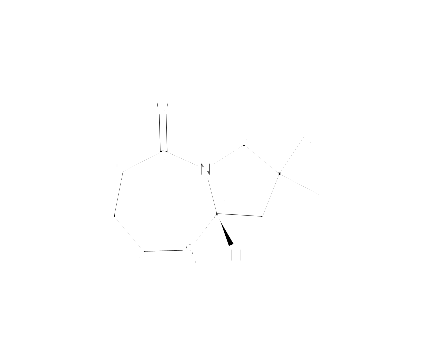 CC1(C)C[C@@H]2SCCCC(=O)N2C1